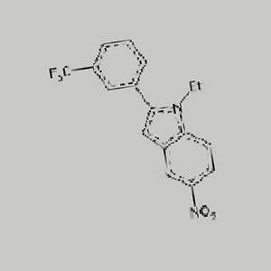 CCn1c(-c2cccc(C(F)(F)F)c2)cc2cc([N+](=O)[O-])ccc21